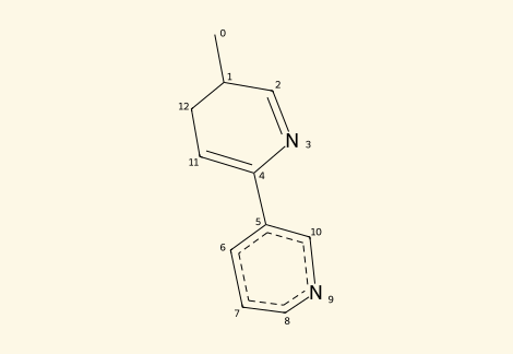 CC1C=NC(c2cccnc2)=CC1